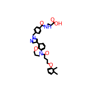 Cc1cccc(OCCCC(=O)N2CCCOc3c(-c4cnn(Cc5ccc(C(=O)NCCC(=O)O)cc5)c4)cccc32)c1C